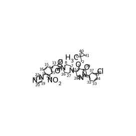 CC1(COc2c(N3CCN(S(=O)(=O)Cc4ccc(-n5ccnc5)c([N+](=O)[O-])c4)CC3)cnn(-c3cccc(Cl)c3)c2=O)CC1